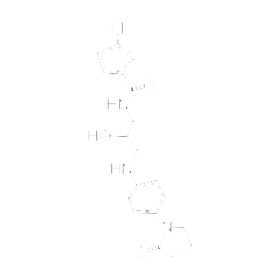 O=C(NCC(O)CNc1ccc(N2CCCC2=O)cc1)c1ccc(Cl)s1